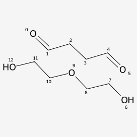 O=CCCC=O.OCCOCCO